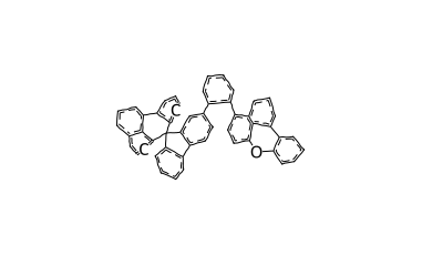 c1ccc2c(c1)Oc1ccc(-c3ccccc3-c3ccc4c(c3)C3(c5ccccc5-4)c4ccccc4-c4cccc5cccc3c45)c3cccc-2c13